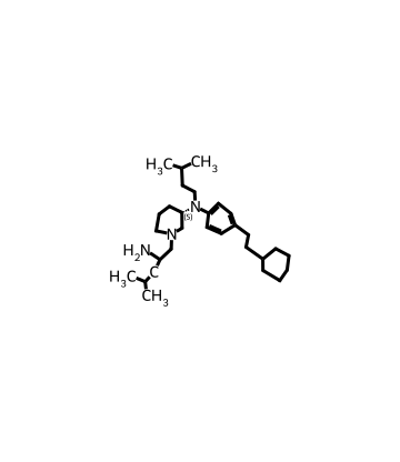 CC(C)CCN(c1ccc(CCC2CCCCC2)cc1)[C@H]1CCCN(CC(N)CC(C)C)C1